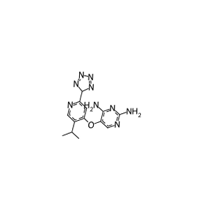 CC(C)c1cnc(C2N=NN=N2)cc1Oc1cnc(N)nc1N